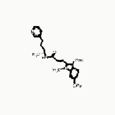 CCCCCc1c(/C=C/C(=O)N[C@H](C)CCCc2cccnc2)n(C)c2cc(OC)ccc12